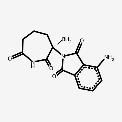 B[C@@]1(N2C(=O)c3cccc(N)c3C2=O)CCCC(=O)NC1=O